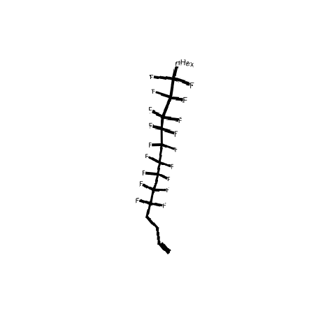 C=CCCC(F)(F)C(F)(F)C(F)(F)C(F)(F)C(F)(F)C(F)(F)C(F)(F)C(F)(F)C(F)(F)CCCCCC